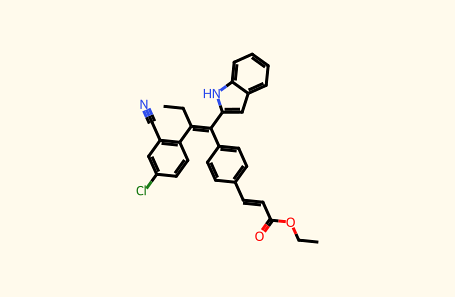 CCOC(=O)/C=C/c1ccc(/C(=C(/CC)c2ccc(Cl)cc2C#N)c2cc3ccccc3[nH]2)cc1